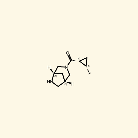 O=C([C@@H]1C[C@@H]1F)N1C[C@@H]2CN[C@@H](C2)C1